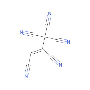 N#CC=C(C#N)C(C#N)(C#N)C#N